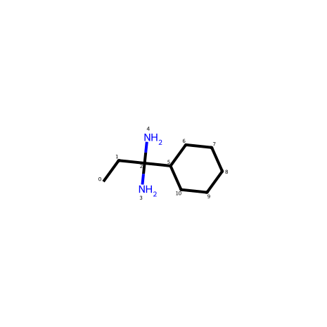 CCC(N)(N)C1CCCCC1